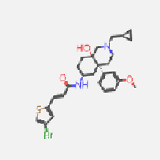 COc1cccc([C@@]23CCN(CC4CC4)C[C@@]2(O)CC[C@H](NC(=O)/C=C/c2cc(Br)cs2)C3)c1